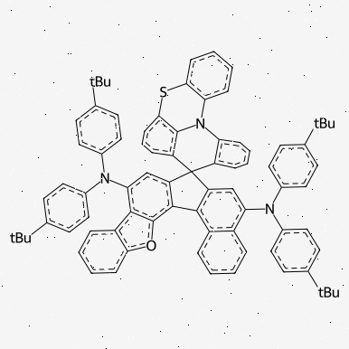 CC(C)(C)c1ccc(N(c2ccc(C(C)(C)C)cc2)c2cc3c(c4ccccc24)-c2c(cc(N(c4ccc(C(C)(C)C)cc4)c4ccc(C(C)(C)C)cc4)c4c2oc2ccccc24)C32c3ccccc3N3c4ccccc4Sc4cccc2c43)cc1